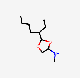 CCCCC(CC)C1OCC(NC)O1